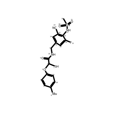 CC(C)(C)c1ccc(OC(S)C(=O)NCc2cc(F)c(NS(C)(=O)=O)c(C#N)c2)cc1